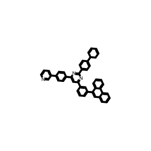 C1=CCC(c2ccc(-c3nc(-c4ccc(-c5cccnc5)cc4)cc(-c4cccc(-c5cc6ccccc6c6ccccc56)c4)n3)cc2)C=C1